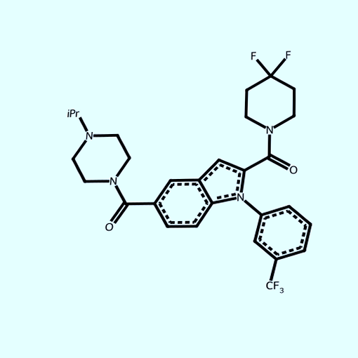 CC(C)N1CCN(C(=O)c2ccc3c(c2)cc(C(=O)N2CCC(F)(F)CC2)n3-c2cccc(C(F)(F)F)c2)CC1